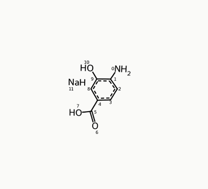 Nc1ccc(C(=O)O)cc1O.[NaH]